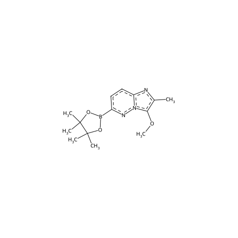 COc1c(C)nc2ccc(B3OC(C)(C)C(C)(C)O3)nn12